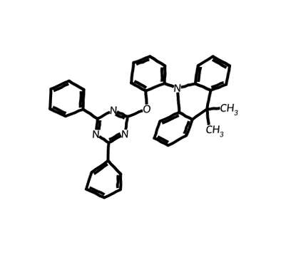 CC1(C)c2ccccc2N(c2ccccc2Oc2nc(-c3ccccc3)nc(-c3ccccc3)n2)c2ccccc21